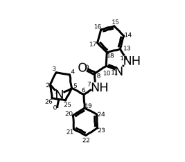 CN1C2CCC1(C(NC(=O)c1n[nH]c3ccccc13)c1ccccc1)CC2